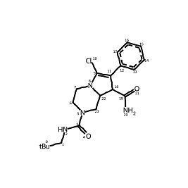 CC(C)(C)CNC(=O)N1CCN2C(Cl)=C(c3ccccc3)C(C(N)=O)C2C1